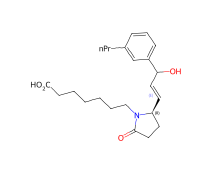 CCCc1cccc(C(O)/C=C/[C@H]2CCC(=O)N2CCCCCCC(=O)O)c1